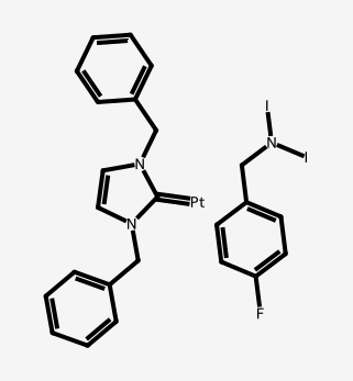 Fc1ccc(CN(I)I)cc1.[Pt]=[c]1n(Cc2ccccc2)ccn1Cc1ccccc1